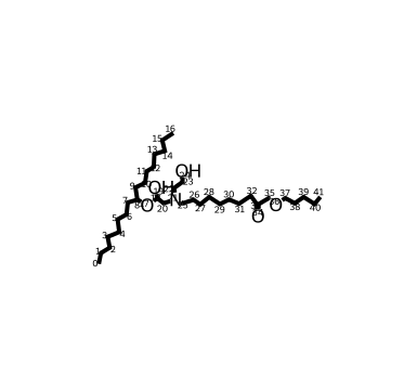 CCCCCCCCC(CCCCCCCC)OC(O)CN(CCO)CCCCCCCCC(=O)COCCCCC